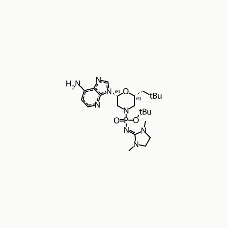 CN1CCN(C)C1=NP(=O)(OC(C)(C)C)N1C[C@@H](CC(C)(C)C)O[C@@H](n2cnc3c(N)ccnc32)C1